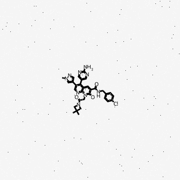 Cn1cc(-c2cnc3c(cc(C(=O)NCc4ccc(Cl)cc4)c(=O)n3CC(=O)N3CC(C)(C)C3)c2-c2cnc(N)nc2)cn1